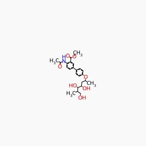 COC(=O)c1cc(-c2ccc(OC(C)CC(O)C(O)C(C)CO)cc2)ccc1NC(C)=O